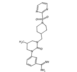 CC1CN(CC2CCN(S(=O)(=O)c3ncccn3)CC2)C(=O)N(c2cccc(C(=N)N)c2)C1